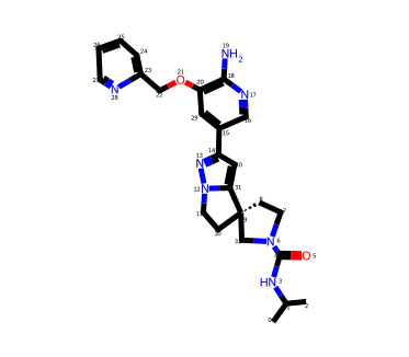 CC(C)NC(=O)N1CC[C@@]2(CCn3nc(-c4cnc(N)c(OCc5ccccn5)c4)cc32)C1